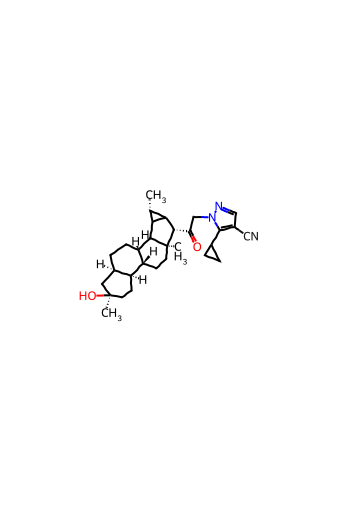 C[C@@H]1C2C1[C@H]1[C@@H]3CC[C@@H]4C[C@](C)(O)CC[C@@H]4[C@H]3CC[C@]1(C)[C@H]2C(=O)Cn1ncc(C#N)c1C1CC1